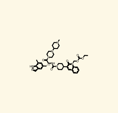 CCOC(=O)OCn1c(=O)c(C2CCN(C(=O)N[C@H](Cc3cc(C)c4[nH]ncc4c3)C(=O)N3CCN(C4CCN(C)CC4)CC3)CC2)cc2ccccc21